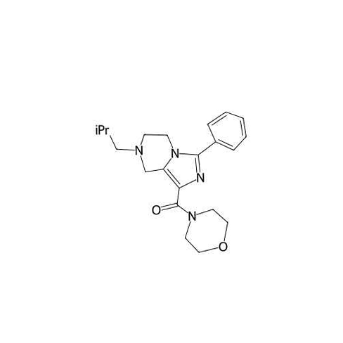 CC(C)CN1CCn2c(-c3ccccc3)nc(C(=O)N3CCOCC3)c2C1